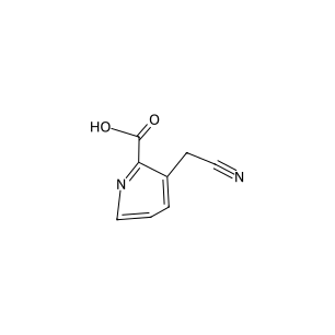 N#CCc1cccnc1C(=O)O